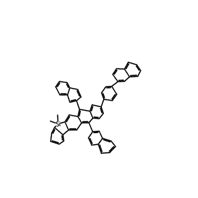 C[Si]1(C)c2ccccc2-c2cc3c(-c4ccc5ccccc5c4)c4ccc(-c5ccc(-c6ccc7ccccc7c6)cc5)cc4c(-c4ccc5ccccc5c4)c3cc21